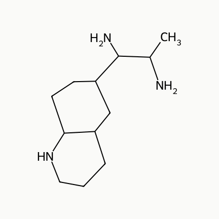 CC(N)C(N)C1CCC2NCCCC2C1